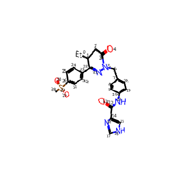 CCC1CC(=O)N(Cc2ccc(NC(=O)c3c[nH]cn3)cc2)N=C1c1ccc(S(C)(=O)=O)cc1